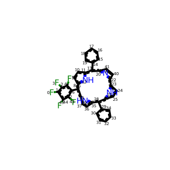 Fc1c(F)c(F)c(-c2c3ccc([nH]3)c(-c3ccccc3)c3nc(c4ccc([nH]4)c(-c4ccccc4)c4ccc2[nH]4)C=C3)c(F)c1F